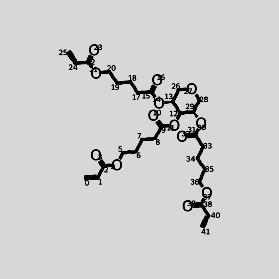 C=CC(=O)OCCCCC(=O)OC1[C@@H](OC(=O)CCCCOC(=O)C=C)COC[C@H]1OC(=O)CCCCOC(=O)C=C